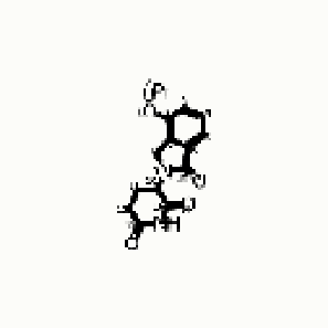 CCCOc1cccc2c1CN(C1CCC(=O)NC1=O)C2=O